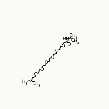 CC(C)CCOCCOCCOCCOCCOCCOCC(=O)NC(C)C